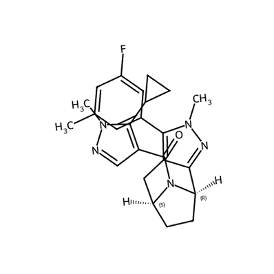 Cc1cc(F)cc(-c2c3c(nn2C)[C@H]2CC[C@@H](C3)N2C(=O)c2cnn(C)c2C2CC2)c1